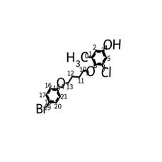 Cc1cc(O)cc(Cl)c1OCCCCOc1ccc(Br)cc1